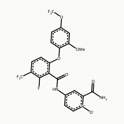 COc1cc(OC(F)(F)F)ccc1Oc1ccc(C(F)(F)F)c(F)c1C(=O)Nc1cc[n+]([O-])c(C(N)=O)c1